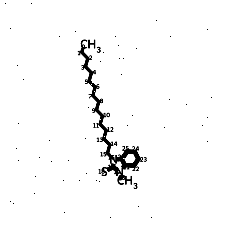 CCCCCCCCCCCCCCCCn1c(=S)n(C)c2ccccc21